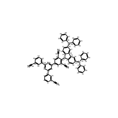 N#Cc1cccc(-c2cc(-c3cc(C#N)c(-n4c5ccc(N(c6ccccc6)c6ccccc6)cc5c5cc(N(c6ccccc6)c6ccccc6)ccc54)c(C#N)c3)nc(-c3cccc(C#N)c3)n2)c1